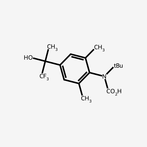 Cc1cc(C(C)(O)C(F)(F)F)cc(C)c1N(C(=O)O)C(C)(C)C